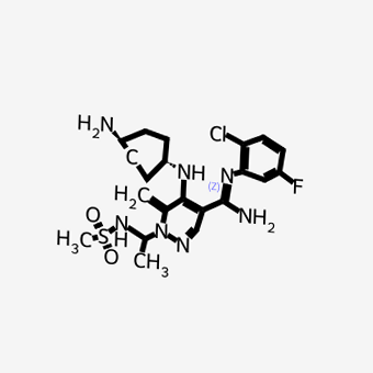 C=C1C(N[C@H]2CC[C@H](N)CC2)=C(/C(N)=N/c2cc(F)ccc2Cl)C=NN1C(C)NS(C)(=O)=O